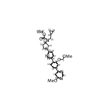 COCOc1cc(-c2cc(OC)ncn2)ccc1-c1ccc(N2CC[C@@H](N(CC3CC3)C(=O)OC(C)(C)C)C2)nn1